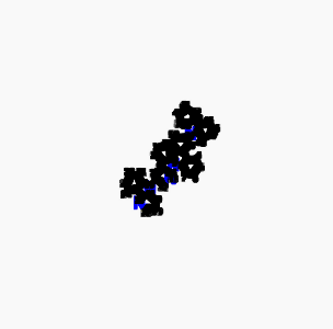 c1cc(-c2ccccc2-n2c3ccccc3c3cc(-n4c5ccccc5c5ncccc54)cnc32)cc(-n2c3ccccc3c3ccccc32)c1